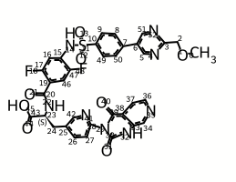 COCc1ncc(-c2ccc(S(=O)(=O)Nc3cc(F)c(C(=O)N[C@@H](Cc4ccc(-n5c(=O)[nH]c6cnccc6c5=O)nc4)C(=O)O)cc3F)cc2)cn1